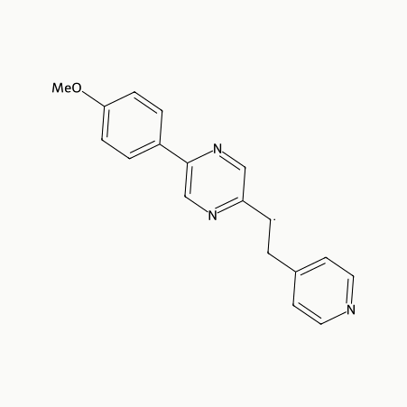 COc1ccc(-c2cnc([CH]Cc3ccncc3)cn2)cc1